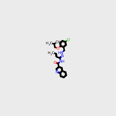 C/C=C/C(=N\NCc1cc(Cl)ccc1OCC(C)C)NC(=O)c1cnc2ccccc2c1